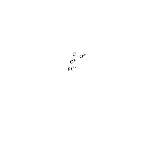 [C].[O-2].[O-2].[Pt+4]